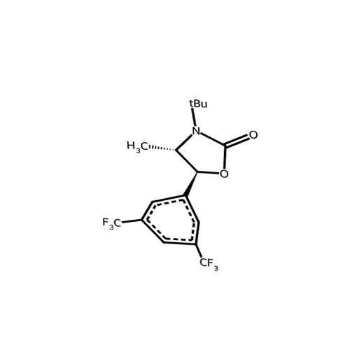 C[C@H]1[C@H](c2cc(C(F)(F)F)cc(C(F)(F)F)c2)OC(=O)N1C(C)(C)C